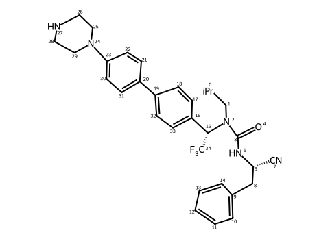 CC(C)CN(C(=O)N[C@H](C#N)Cc1ccccc1)[C@@H](c1ccc(-c2ccc(N3CCNCC3)cc2)cc1)C(F)(F)F